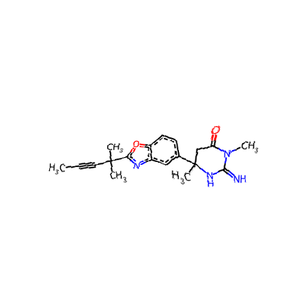 CC#CC(C)(C)c1nc2cc(C3(C)CC(=O)N(C)C(=N)N3)ccc2o1